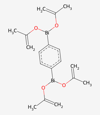 C=C(C)[O][Bi]([O]C(=C)C)[c]1cc[c]([Bi]([O]C(=C)C)[O]C(=C)C)cc1